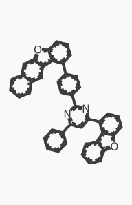 c1ccc(-c2cc(-c3cccc4oc5ccccc5c34)nc(-c3ccc(-c4cccc5oc6cc7ccccc7cc6c45)cc3)n2)cc1